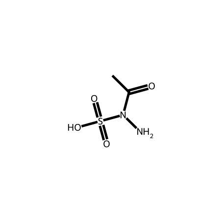 CC(=O)N(N)S(=O)(=O)O